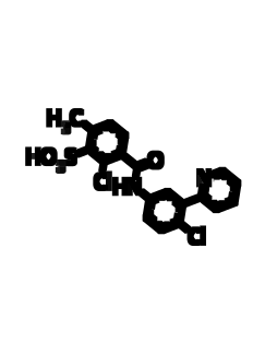 Cc1ccc(C(=O)Nc2ccc(Cl)c(-c3ccccn3)c2)c(Cl)c1S(=O)(=O)O